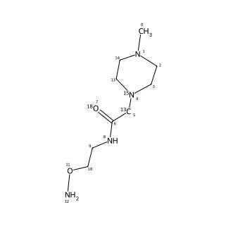 CN1CC[15N]([13CH2]C(=[18O])NCCON)CC1